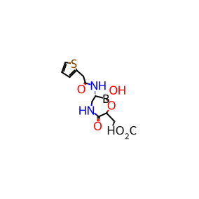 O=C(O)CC1OB(O)[C@@H](NC(=O)Cc2cccs2)CNC1=O